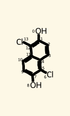 Oc1ccc2c(Cl)c(O)ccc2c1Cl